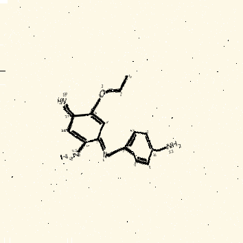 CCOC1=CC(=Nc2ccc(N)cc2)C(N)=CC1=N